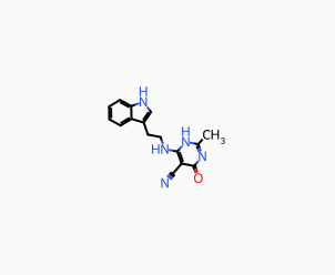 Cc1nc(=O)c(C#N)c(NCCc2c[nH]c3ccccc23)[nH]1